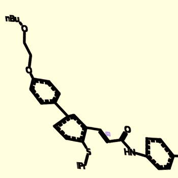 CCCCOCCOc1ccc(-c2ccc(SC(C)C)c(/C=C/C(=O)Nc3ccc(S)cc3)c2)cc1